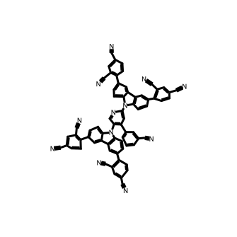 N#Cc1cccc(-c2cc(-n3c4ccc(-c5ccc(C#N)cc5C#N)cc4c4cc(-c5ccc(C#N)cc5C#N)ccc43)ncc2-n2c3ccc(-c4ccc(C#N)cc4C#N)cc3c3cc(-c4ccc(C#N)cc4C#N)ccc32)c1